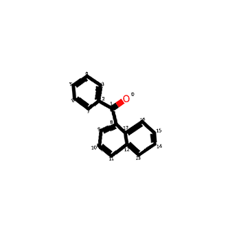 O=C(c1ccccc1)c1cc[c]c2ccccc12